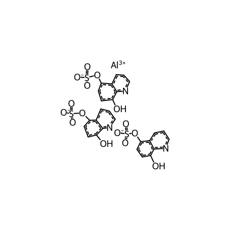 O=S(=O)([O-])Oc1ccc(O)c2ncccc12.O=S(=O)([O-])Oc1ccc(O)c2ncccc12.O=S(=O)([O-])Oc1ccc(O)c2ncccc12.[Al+3]